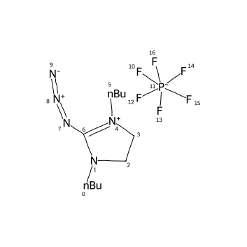 CCCCN1CC[N+](CCCC)=C1N=[N+]=[N-].F[P-](F)(F)(F)(F)F